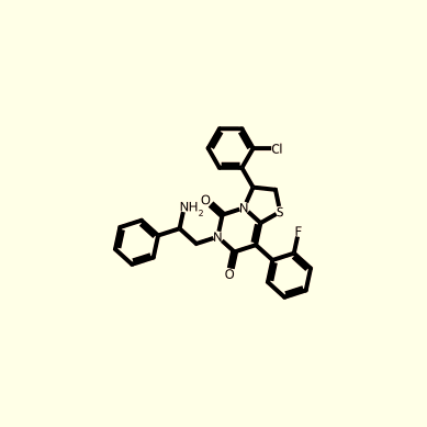 NC(Cn1c(=O)c(-c2ccccc2F)c2n(c1=O)C(c1ccccc1Cl)CS2)c1ccccc1